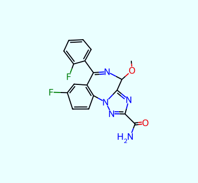 COC1N=C(c2ccccc2F)c2cc(F)ccc2-n2nc(C(N)=O)nc21